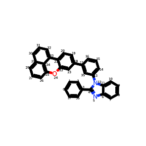 c1ccc(-c2nc3ccccc3n2-c2cccc(-c3ccc4c(c3)Oc3cccc5cccc-4c35)c2)cc1